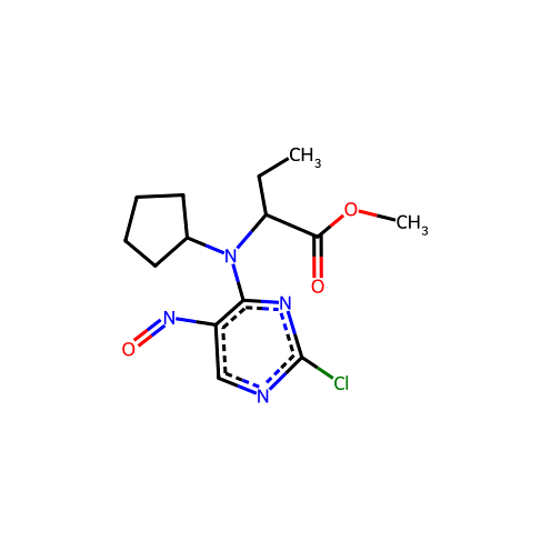 CCC(C(=O)OC)N(c1nc(Cl)ncc1N=O)C1CCCC1